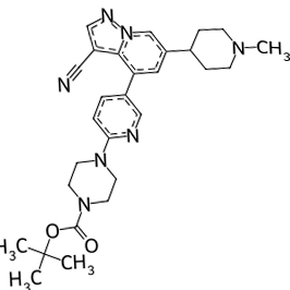 CN1CCC(c2cc(-c3ccc(N4CCN(C(=O)OC(C)(C)C)CC4)nc3)c3c(C#N)cnn3c2)CC1